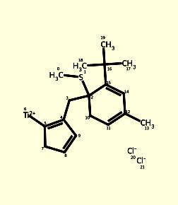 CSC1(CC2=[C]([Ti+2])CC=C2)CC=C(C)C=C1C(C)(C)C.[Cl-].[Cl-]